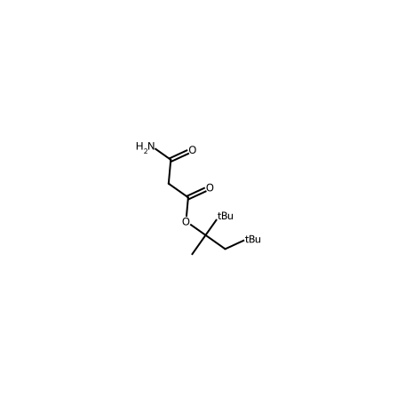 CC(C)(C)CC(C)(OC(=O)CC(N)=O)C(C)(C)C